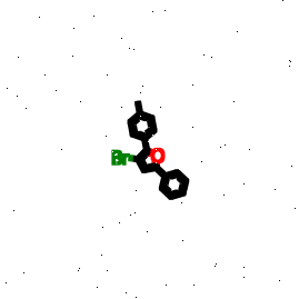 Cc1ccc(-c2oc(-c3ccccc3)cc2Br)cc1